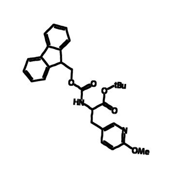 COc1ccc(CC(NC(=O)OCC2c3ccccc3-c3ccccc32)C(=O)OC(C)(C)C)cn1